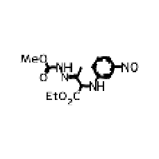 CCOC(=O)C(Nc1cccc(N=O)c1)/C(C)=N/NC(=O)OC